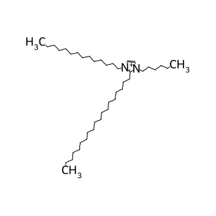 CCCCCCCCCCCCCCCCCCCc1n(CCCCCC)cc[n+]1CCCCCCCCCCCCCC